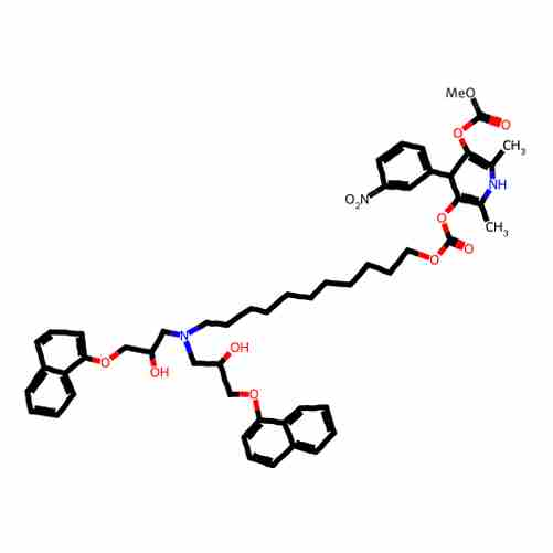 COC(=O)OC1=C(C)NC(C)=C(OC(=O)OCCCCCCCCCCCN(CC(O)COc2cccc3ccccc23)CC(O)COc2cccc3ccccc23)C1c1cccc([N+](=O)[O-])c1